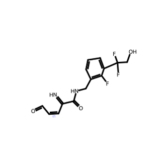 N=C(/C=C\C=O)C(=O)NCc1cccc(C(F)(F)CO)c1F